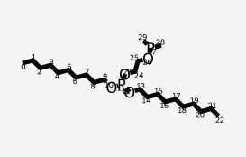 CCCCCCCCCCOP(OCCCCCCCCCC)OCCOP(C)C